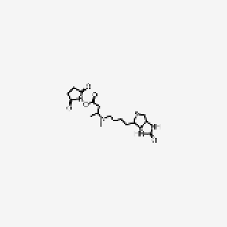 CC(CC(=O)ON1C(=O)CCC1=O)NCCCCC1SCC2NC(=O)NC21